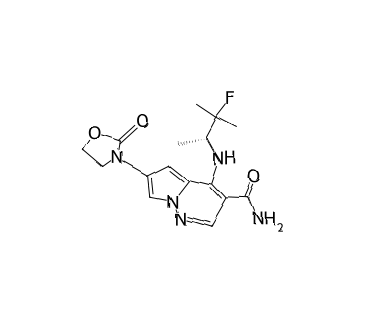 C[C@@H](Nc1c(C(N)=O)cnn2cc(N3CCOC3=O)cc12)C(C)(C)F